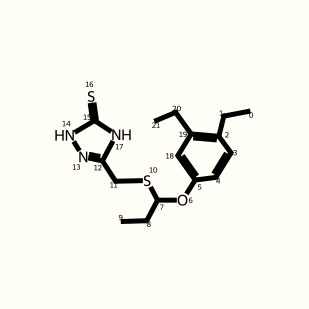 CCc1ccc(OC(CC)SCc2n[nH]c(=S)[nH]2)cc1CC